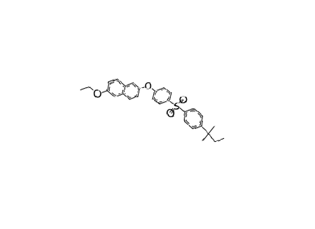 CCOc1ccc2cc(Oc3ccc(S(=O)(=O)c4ccc(C(C)(C)CC)cc4)cc3)ccc2c1